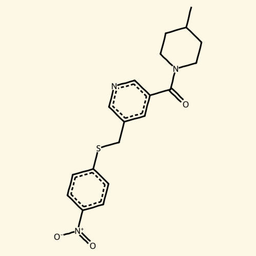 CC1CCN(C(=O)c2cncc(CSc3ccc([N+](=O)[O-])cc3)c2)CC1